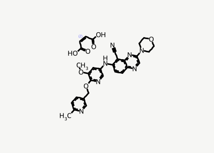 COc1cc(Nc2ccc3ncc(N4CCOCC4)nc3c2C#N)cnc1OCc1ccc(C)nc1.O=C(O)/C=C\C(=O)O